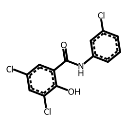 O=C(Nc1cccc(Cl)c1)c1cc(Cl)cc(Cl)c1O